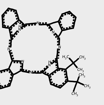 CC(C)(C)c1ccc2c3nc4nc(nc5[nH]c(nc6nc(nc([nH]3)c2c1C(C)(C)C)-c1ccccc1-6)c1ccccc51)-c1ccccc1-4